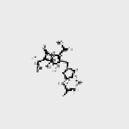 CC(=N)N[C@H]1CN(CC2=C(C(=O)O)N3C(=O)C([C@@H](C)O)[C@H]3[C@H]2C)C[C@@H]1O